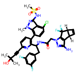 Cn1nc(NS(C)(=O)=O)c2c(Cl)ccc(-c3ccc(C#CC(C)(C)O)nc3C(Cc3cc(F)cc(F)c3)NC(=O)Cn3nc(N)c4c3C(F)(F)[C@@H]3C=C[C@H]43)c21